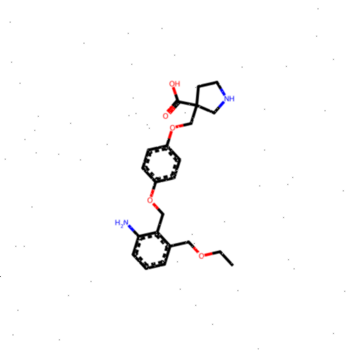 CCOCc1cccc(N)c1COc1ccc(OCC2(C(=O)O)CCNC2)cc1